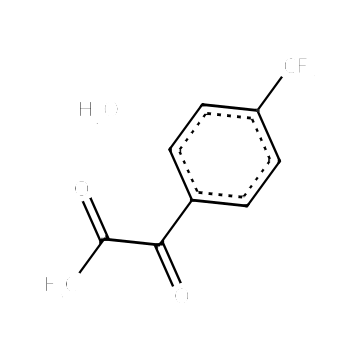 O.O=C(C(=O)C(F)(F)F)c1ccc(C(F)(F)F)cc1